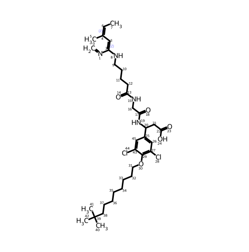 C=N/C(=C\C(C)=C/C)NCCCCC(=O)NCC(=O)NC(CC(=O)O)c1cc(Cl)c(OCCCCCCCCC(C)(C)C)c(Cl)c1